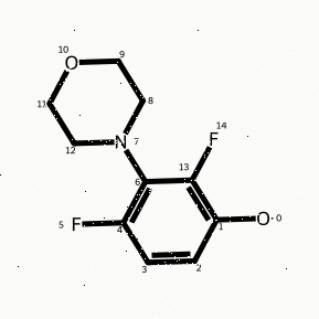 [O]c1ccc(F)c(N2CCOCC2)c1F